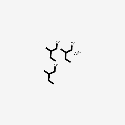 CCC(C)C[O-].CCC(C)C[O-].CCC(C)C[O-].[Al+3]